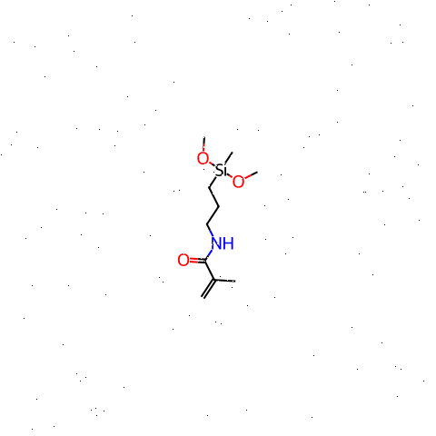 C=C(C)C(=O)NCCC[Si](C)(OC)OC